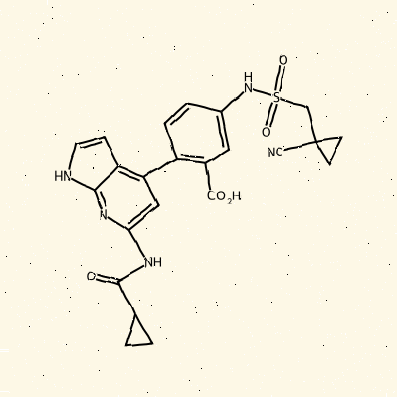 N#CC1(CS(=O)(=O)Nc2ccc(-c3cc(NC(=O)C4CC4)nc4[nH]ccc34)c(C(=O)O)c2)CC1